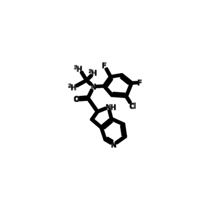 [2H]C([2H])([2H])N(C(=O)C1Cc2cnccc2N1)c1cc(Cl)c(F)cc1F